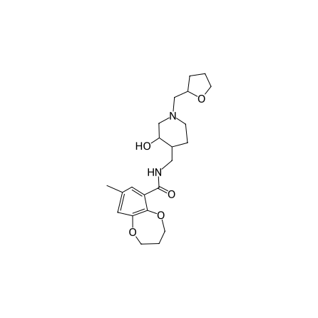 Cc1cc2c(c(C(=O)NCC3CCN(CC4CCCO4)CC3O)c1)OCCCO2